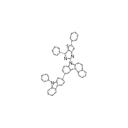 c1ccc(-c2cc3nc(-n4c5ccc(-c6ccc7c8ccccc8n(-c8ccccc8)c7c6)cc5c5c6ccccc6ccc54)nc(-c4ccccc4)c3s2)cc1